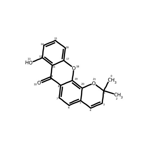 CC1(C)C=Cc2ccc3c(=O)c4c(O)cccc4oc3c2O1